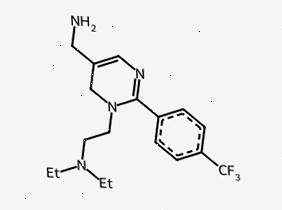 CCN(CC)CCN1CC(CN)=CN=C1c1ccc(C(F)(F)F)cc1